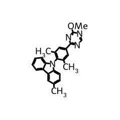 COc1ncnc(-c2cc(C)c(-n3c4ccccc4c4cc(C)ccc43)c(C)c2)n1